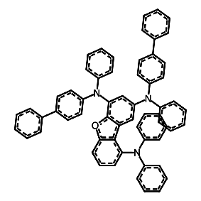 c1ccc(-c2ccc(N(c3ccccc3)c3cc(N(c4ccccc4)c4ccc(-c5ccccc5)cc4)c4oc5cccc(N(c6ccccc6)c6ccccc6)c5c4c3)cc2)cc1